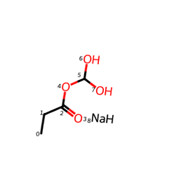 CCC(=O)OC(O)O.[NaH]